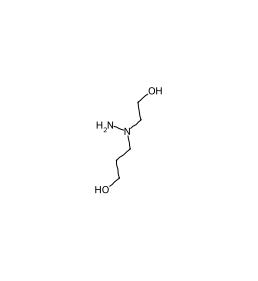 NN(CCO)CCCO